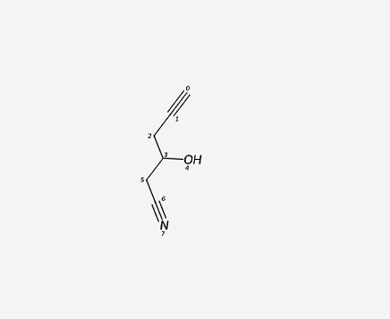 C#CCC(O)CC#N